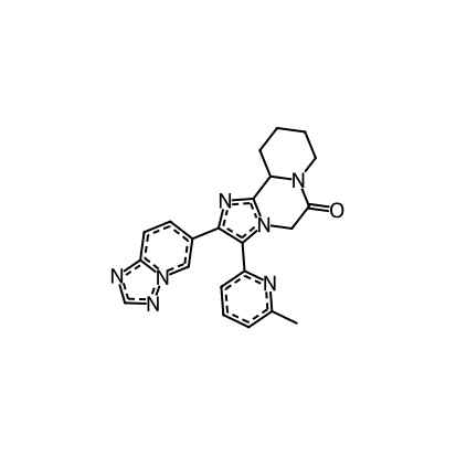 Cc1cccc(-c2c(-c3ccc4ncnn4c3)nc3n2CC(=O)N2CCCCC32)n1